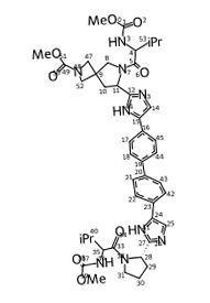 COC(=O)NC(C(=O)N1CC2(CC1c1ncc(-c3ccc(-c4ccc(-c5cnc([C@@H]6CCCN6C(=O)C(NC(=O)OC)C(C)C)[nH]5)cc4)cc3)[nH]1)CN(C(=O)OC)C2)C(C)C